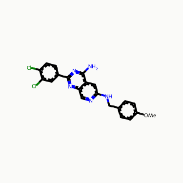 COc1ccc(CNc2cc3c(N)nc(-c4ccc(Cl)c(Cl)c4)nc3cn2)cc1